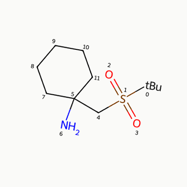 CC(C)(C)S(=O)(=O)CC1(N)CCCCC1